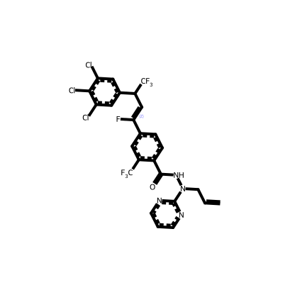 C=CCN(NC(=O)c1ccc(/C(F)=C/C(c2cc(Cl)c(Cl)c(Cl)c2)C(F)(F)F)cc1C(F)(F)F)c1ncccn1